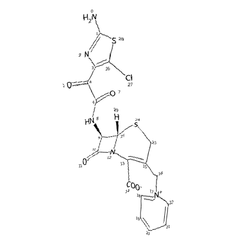 Nc1nc(C(=O)C(=O)N[C@@H]2C(=O)N3C(C(=O)[O-])=C(C[n+]4ccccc4)CS[C@@H]23)c(Cl)s1